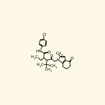 CCC(C(=O)Nc1ccc(Cl)cc1)N(C(=O)Cn1c(C)cc2c1CCCC2=O)C(C)(C)C